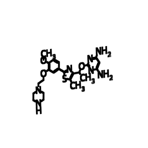 COc1ccc(-c2nc(C(C)Oc3nc(N)cc(N)n3)c(C)s2)cc1OCCN1CCNCC1